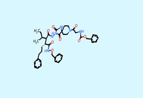 CCC(C)C(C(=O)NN1C(=O)NC2(CCN(C(=O)CNC(=O)OCc3ccccc3)CC2)C1=O)[C@@H](CCCc1ccccc1)C(=O)NOCc1ccccc1